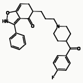 O=C1C2=C(c3ccccc3)NOC2=CCC1CCCN1CCC(C(=O)c2ccc(F)cc2)CC1